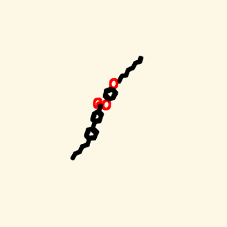 C=CCCCCCCOc1ccc(OC(=O)c2ccc(-c3ccc(CCCCC)cc3)cc2)cc1